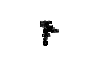 CC(C)(C)OC(=O)N[C@@](C)(CO[Si](C)(C)C(C)(C)C)c1cc(NC(=O)OCc2ccccc2)ccn1